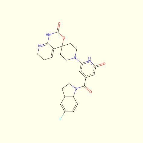 O=C1NC2=NCCC=C2C2(CCN(c3cc(C(=O)N4CCC5C=C(F)C=CC54)cc(=O)[nH]3)CC2)O1